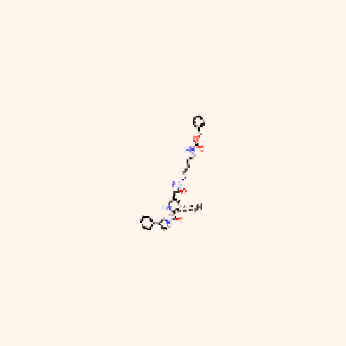 O=C(CC1CN[C@H](C(=O)N2CCC(c3ccccc3)C2)[C@@H](C(=O)O)C1)NCCCCCNC(=O)OCc1ccccc1